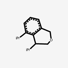 CC(C)c1cccc2c1C(C(C)C)COC2